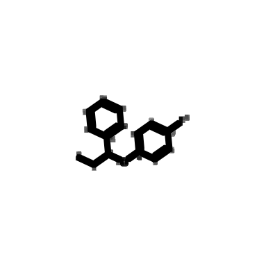 CCC(Oc1ccc(F)cc1)c1ccccc1